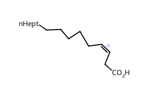 CCCCCCCCCCCC/C=C\CC(=O)O